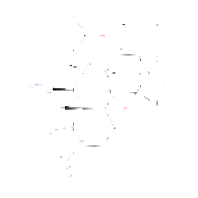 CC(=O)O[C@@H]1[C@@]2(C(C)C)O[C@H]2[C@@H]2O[C@]23[C@]12O[C@H]2[C@H](C#N)[C@H]1C2=C(CC[C@@]13C)C(=O)OC2